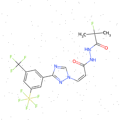 CC(C)(F)C(=O)NNC(=O)/C=C\n1cnc(-c2cc(C(F)(F)F)cc(S(F)(F)(F)(F)F)c2)n1